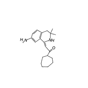 CC1(C)Cc2ccc(N)cc2/C(=C/C(=O)C2CCCCCC2)N1